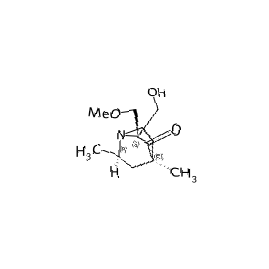 COC[C@@]1(CO)C(=O)[C@@]2(C)CCN1[C@H](C)C2